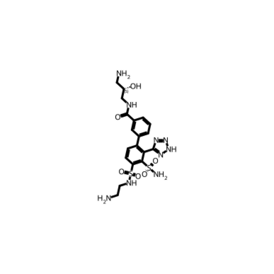 NCCNS(=O)(=O)c1ccc(-c2cccc(C(=O)NC[C@@H](O)CN)c2)c(-c2nn[nH]n2)c1S(N)(=O)=O